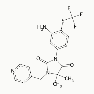 CC1(C)C(=O)N(c2ccc(SC(F)(F)F)c(N)c2)C(=O)N1Cc1ccncc1